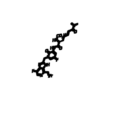 CC(C)Cc1ncc(F)c2nc(Cn3cc(F)cc(NC(=O)[C@H](CC/C=C/C(=O)N(C)C)NC(=O)O)c3=O)[nH]c12